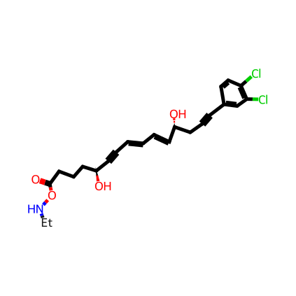 CCNOC(=O)CCC[C@H](O)C#C/C=C/C=C/[C@H](O)CC#Cc1ccc(Cl)c(Cl)c1